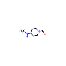 CNC1CCN(C=O)CC1